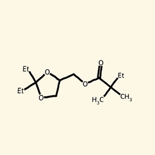 CCC1(CC)OCC(COC(=O)C(C)(C)CC)O1